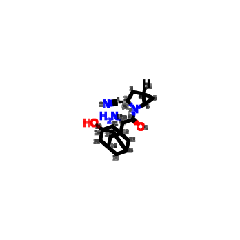 N#C[C@@H]1C[C@@H]2CC2N1C(=O)[C@@H](N)C12CC3CC(CC(O)(C3)C1)C2